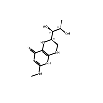 CNc1nc(=O)c2c([nH]1)NC[C@H]([C@@H](O)[C@H](C)O)N2